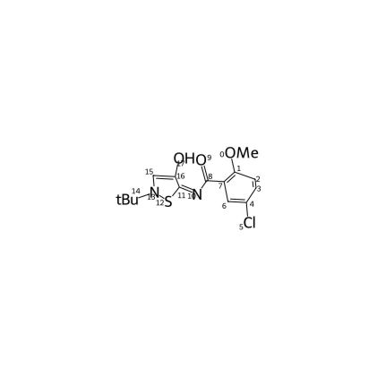 COc1ccc(Cl)cc1C(=O)N=c1sn(C(C)(C)C)cc1O